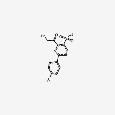 CCS(=O)(=O)c1ccc(-c2ccc(C(F)(F)F)cc2)nc1C(=O)CBr